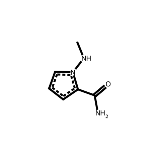 CNn1cccc1C(N)=O